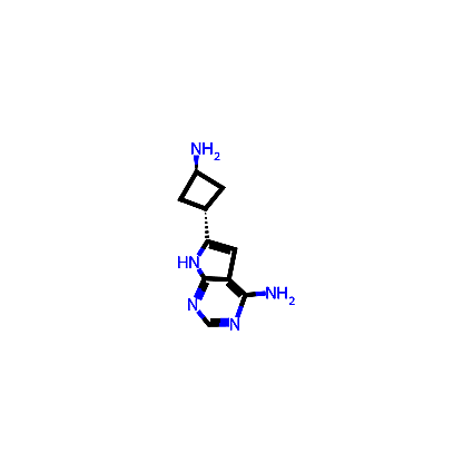 Nc1ncnc2[nH]c([C@H]3C[C@H](N)C3)cc12